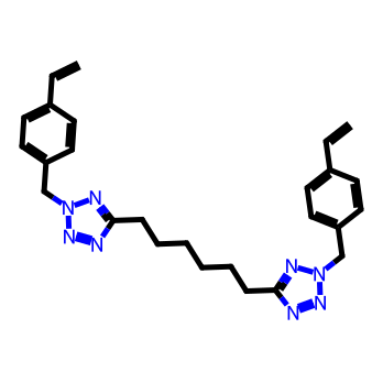 C=Cc1ccc(Cn2nnc(CCCCCCc3nnn(Cc4ccc(C=C)cc4)n3)n2)cc1